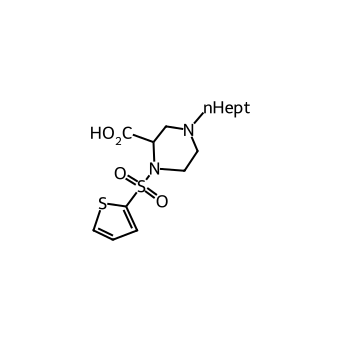 CCCCCCCN1CCN(S(=O)(=O)c2cccs2)C(C(=O)O)C1